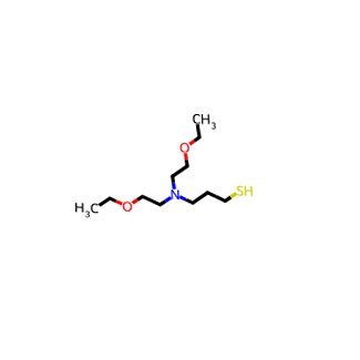 CCOCCN(CCCS)CCOCC